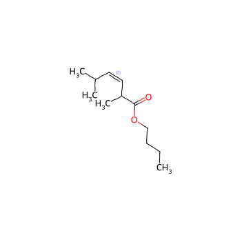 CCCCOC(=O)C(C)/C=C\C(C)C